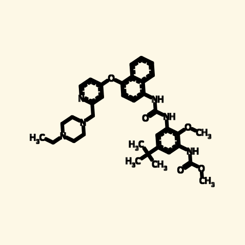 CCN1CCN(Cc2cc(Oc3ccc(NC(=O)Nc4cc(C(C)(C)C)cc(NC(=O)OC)c4OC)c4ccccc34)ccn2)CC1